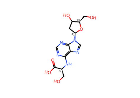 O=C(O)[C@H](CO)Nc1ncnc2c1ncn2[C@H]1CC(O)[C@@H](CO)O1